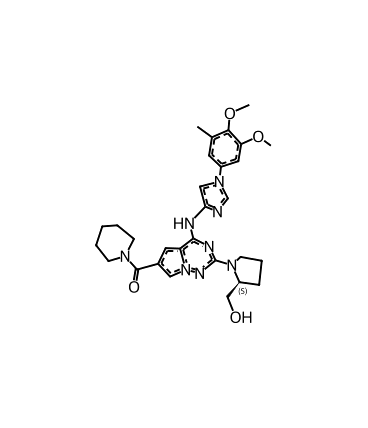 COc1cc(-n2cnc(Nc3nc(N4CCC[C@H]4CO)nn4cc(C(=O)N5CCCCC5)cc34)c2)cc(C)c1OC